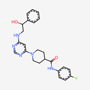 O=C(Nc1ccc(F)cc1)C1CCN(c2cc(NCC(O)c3ccccc3)ncn2)CC1